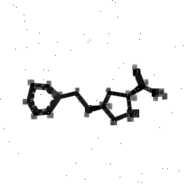 NC(=O)[C@@H]1C[C@H](OCc2ccccc2)CN1